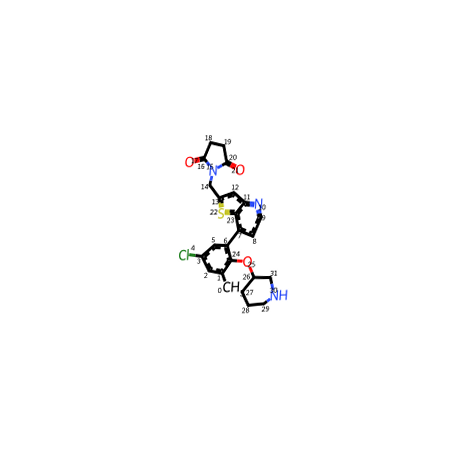 Cc1cc(Cl)cc(-c2ccnc3cc(CN4C(=O)CCC4=O)sc23)c1OC1CCCNC1